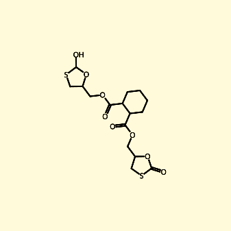 O=C1OC(COC(=O)C2CCCCC2C(=O)OCC2CSC(O)O2)CS1